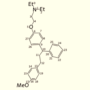 CCN(CC)CCOc1ccc(C(CCc2ccc(OC)cc2)c2ccccc2)cc1